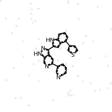 c1cncc(-c2cc3c(-c4cc5c(-c6ccsc6)cccc5[nH]4)n[nH]c3cn2)c1